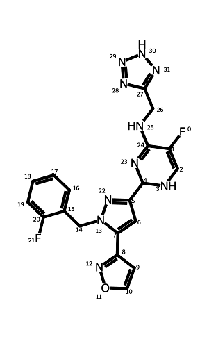 FC1=CNC(c2cc(-c3ccon3)n(Cc3ccccc3F)n2)N=C1NCc1nn[nH]n1